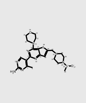 Cc1nc(N)ncc1-c1nc(N2CCOCC2)c2sc(CN3CCN([S+](C)[O-])CC3)cc2n1